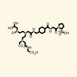 CCN(CCN(CCN(CCNCC(=O)O)CC(=O)O)CC(=O)NCC1CCC(C(=O)NCC(=O)N2CCC[C@H]2B(O)O)CC1)CC(O)O